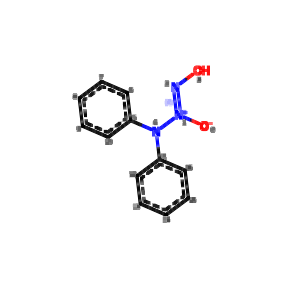 [O-]/[N+](=N\O)N(c1ccccc1)c1ccccc1